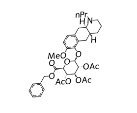 CCCN1CCC[C@@H]2Cc3c(ccc(OC)c3O[C@@H]3O[C@H](C(=O)OCc4ccccc4)[C@@H](OC(C)=O)[C@H](OC(C)=O)[C@H]3OC(C)=O)C[C@H]21